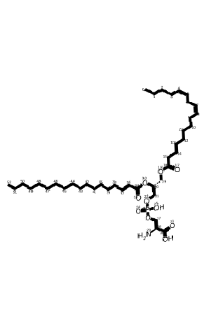 CCCC/C=C\C/C=C\CCCCCCCC(=O)OC[C@H](COP(=O)(O)OC[C@H](N)C(=O)O)OC(=O)CCCCCCCCCCCCCCCCC